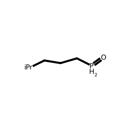 CC(C)CCC[PH2]=O